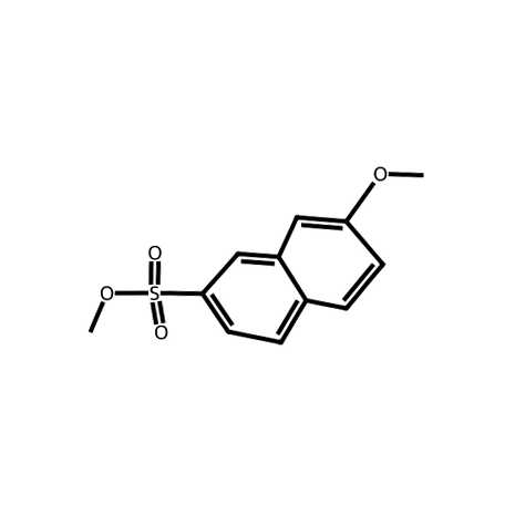 COc1ccc2ccc(S(=O)(=O)OC)cc2c1